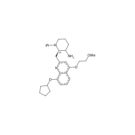 COCCOc1cc(C[C@@H]2C(N)CCCN2C(C)C)nc2c(OC3CCCC3)cccc12